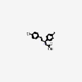 O=C(O)/C=C(/CCc1ccc(Cl)cc1)c1ccc(F)cc1